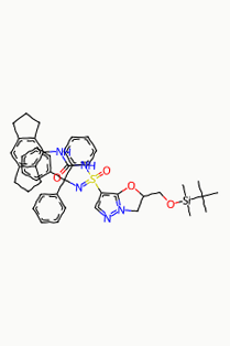 CC(C)(C)[Si](C)(C)OCC1Cn2ncc(S(=O)(=NC(c3ccccc3)(c3ccccc3)c3ccccc3)NC(=O)Nc3c4c(cc5c3CCC5)CCC4)c2O1